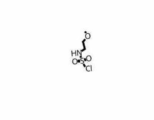 COCCNS(=O)(=O)CCl